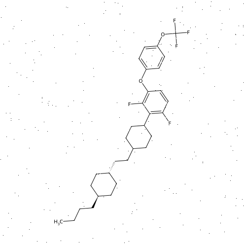 CCCC[C@H]1CC[C@H](CCC2CCC(c3c(F)c[c]c(Oc4ccc(OC(F)(F)F)cc4)c3F)CC2)CC1